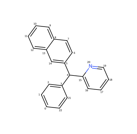 c1ccc(C(c2ccc3ccccc3c2)c2ccccn2)cc1